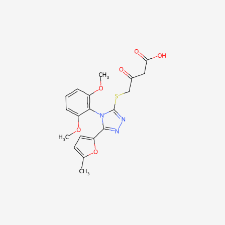 COc1cccc(OC)c1-n1c(SCC(=O)CC(=O)O)nnc1-c1ccc(C)o1